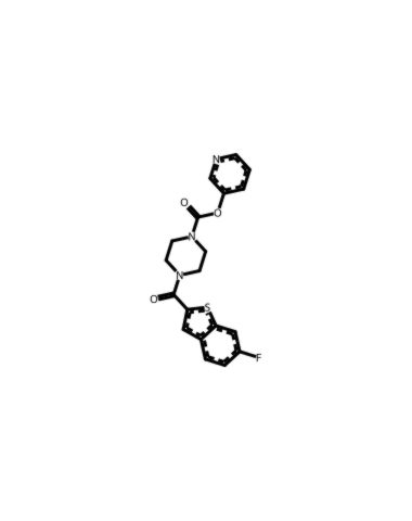 O=C(Oc1cccnc1)N1CCN(C(=O)c2cc3ccc(F)cc3s2)CC1